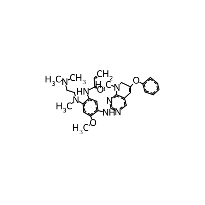 C=CC(=O)Nc1cc(Nc2ncc3c(n2)N(C)CC(Oc2ccccc2)=C3)c(OC)cc1N(C)CCN(C)C